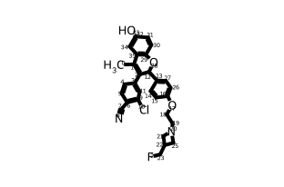 CC1=C(c2ccc(C#N)c(Cl)c2)C(c2ccc(OCCN3CC(CF)C3)cc2)Oc2ccc(O)cc21